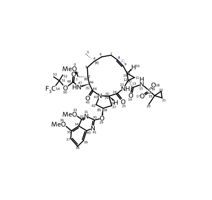 COC[C@@H]1C[C@H](C)CC/C=C\[C@@H]2C[C@@]2(C(=O)NS(=O)(=O)C2(C)CC2)NC(=O)[C@@H]2C[C@@H](Oc3nc(OC)c4c(OC)cccc4n3)CN2C(=O)[C@H]1NC(=O)OC(C)(C)C(F)(F)F